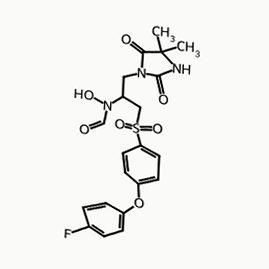 CC1(C)NC(=O)N(CC(CS(=O)(=O)c2ccc(Oc3ccc(F)cc3)cc2)N(O)C=O)C1=O